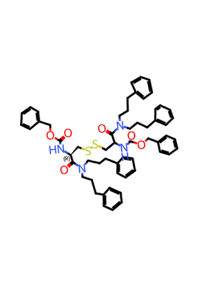 O=C(NC(CSSC[C@H](NC(=O)OCc1ccccc1)C(=O)N(CCCc1ccccc1)CCCc1ccccc1)C(=O)N(CCCc1ccccc1)CCCc1ccccc1)OCc1ccccc1